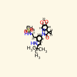 CC(C)(C)c1cc2cc(NC(=O)C3(c4ccc5c(c4)OCO5)CC3)cc(CCNS(C)(=O)=O)c2[nH]1